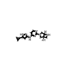 CC[C@]12CN[C@H]1CN(c1nccc(Nc3cc(C4CC4)[nH]n3)n1)C2